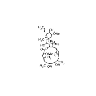 C/C=C/[C@H]1O[C@@](O)([C@@H](C)[C@H](O)[C@H](C)[C@H]2OC(=O)/C(OC)=C/C(C)=C/[C@@H](C)[C@@H](O)C[C@@H](O)[C@H](C)C/C(C)=C/C=C/[C@@H]2OC)C[C@@H](OC(C)=O)[C@@H]1C